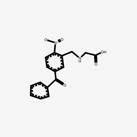 O=C(O)CNCc1cc(C(=O)c2ccccc2)ccc1[N+](=O)[O-]